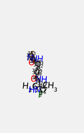 Cc1[nH]c2c(F)ccc(C)c2c1CCNC(=O)c1ccc(-c2cccc(C(=O)Nc3nccs3)c2)cc1